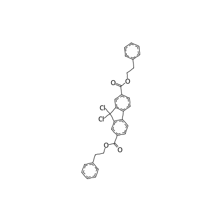 O=C(OCCc1ccccc1)c1ccc2c(c1)C(Cl)(Cl)c1cc(C(=O)OCCc3ccccc3)ccc1-2